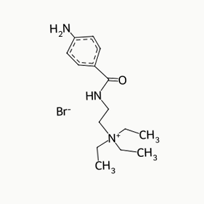 CC[N+](CC)(CC)CCNC(=O)c1ccc(N)cc1.[Br-]